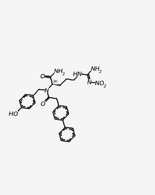 NC(=O)[C@@H](CCCNC(N)=N[N+](=O)[O-])N(Cc1ccc(O)cc1)C(=O)Cc1ccc(-c2ccccc2)cc1